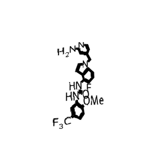 COc1ccc(C(F)(F)F)cc1NC(=O)Nc1c(F)ccc2c1ccn2Cc1ccnc(N)c1